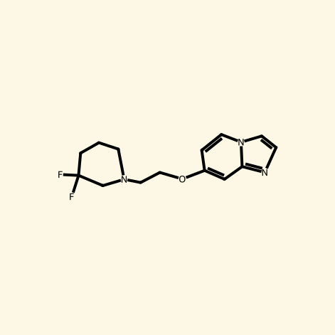 FC1(F)CCCN(CCOc2ccn3ccnc3c2)C1